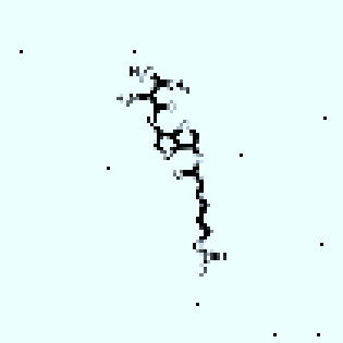 CC(C)C(N)C(=O)OC1COC2C(OC(=O)CCCCCO[N+](=O)[O-])COC12